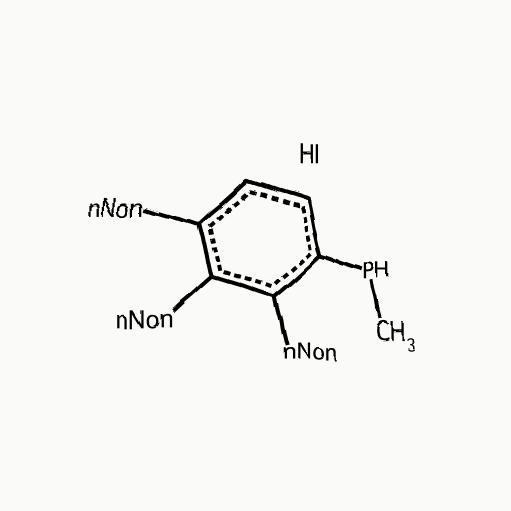 CCCCCCCCCc1ccc(PC)c(CCCCCCCCC)c1CCCCCCCCC.I